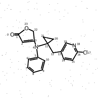 O=C1C=C(N(c2ccccc2)C2(Cc3ccc(Cl)nc3)CC2)CO1